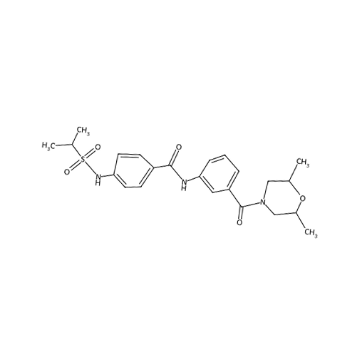 CC1CN(C(=O)c2cccc(NC(=O)c3ccc(NS(=O)(=O)C(C)C)cc3)c2)CC(C)O1